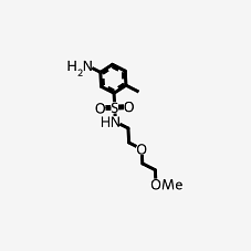 COCCOCCNS(=O)(=O)c1cc(N)ccc1C